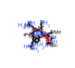 CC[C@H](C)[C@H](NC(=O)[C@H](C)NC(=O)[C@H](CCSC)NC(=O)[C@H](Cc1c[nH]c2ccccc12)NC(=O)[C@H](CCCCN)NC(=O)[C@H](CCCNC(=N)N)NC(=O)[C@H](CC(C)C)NC(=O)[C@@H](C)CCCNC(=N)N)C(N)=O